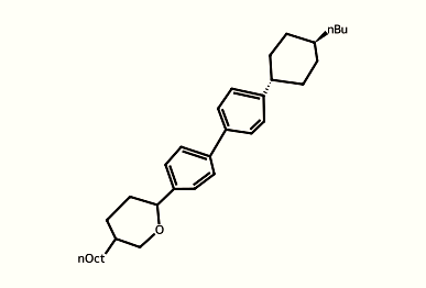 CCCCCCCCC1CCC(c2ccc(-c3ccc([C@H]4CC[C@H](CCCC)CC4)cc3)cc2)OC1